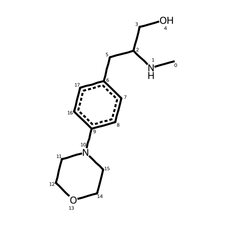 CNC(CO)Cc1ccc(N2CCOCC2)cc1